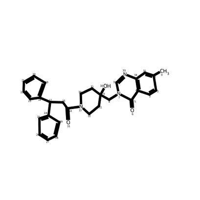 Cc1ccc2c(=O)n(CC3(O)CCN(C(=O)CC(c4ccccc4)c4ccccc4)CC3)cnc2c1